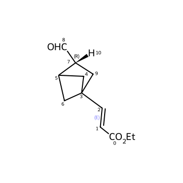 CCOC(=O)/C=C/C12CC(C1)[C@H](C=O)C2